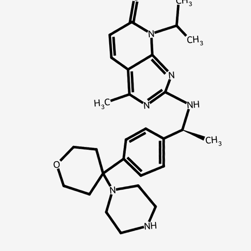 Cc1nc(N[C@@H](C)c2ccc(C3(N4CCNCC4)CCOCC3)cc2)nc2c1ccc(=O)n2C(C)C